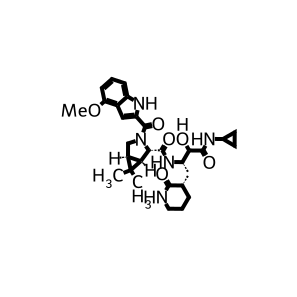 COc1cccc2[nH]c(C(=O)N3C[C@H]4[C@@H]([C@H]3C(=O)N[C@@H](C[C@@H]3CCCNC3=O)C(O)C(=O)NC3CC3)C4(C)C)cc12